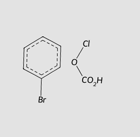 Brc1ccccc1.O=C(O)OCl